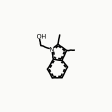 Cc1c(C)n(CO)c2ccccc12